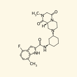 Cc1ccc(F)c2cc(C(=O)N[C@@H]3CCC[C@H](N4CCN5C(=O)CN(C)C(=O)[C@H]5C4)C3)[nH]c12